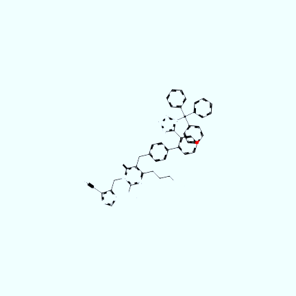 CCCCc1nc(C)n(Cc2ncsc2C#N)c(=O)c1Cc1ccc(-c2ccccc2-c2nnnn2C(c2ccccc2)(c2ccccc2)c2ccccc2)cc1